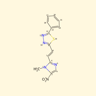 Cn1c([N+](=O)[O-])cnc1C=Cc1nnc(-c2ccccc2)s1